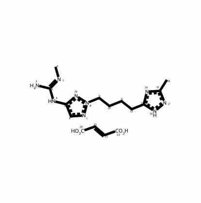 CN=C(N)Nc1cnn(CCCCc2nc(C)n[nH]2)n1.O=C(O)C=CC(=O)O